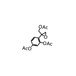 CC(=O)OCC1(c2ccc(OC(C)=O)cc2OC(C)=O)CO1